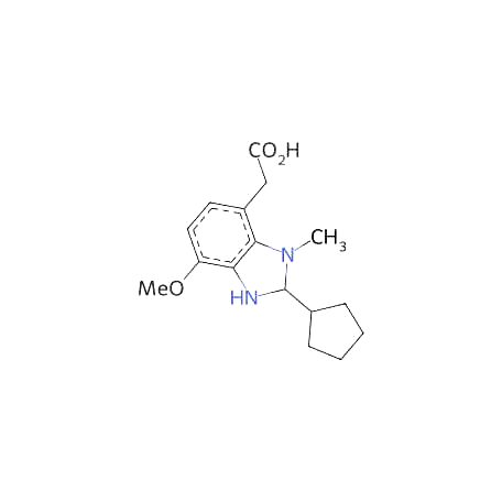 COc1ccc(CC(=O)O)c2c1NC(C1CCCC1)N2C